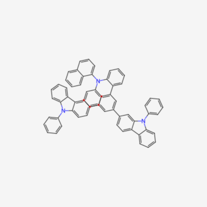 c1ccc(N(c2ccccc2-c2cc(-c3ccc4c(c3)c3ccccc3n4-c3ccccc3)cc(-c3ccc4c5ccccc5n(-c5ccccc5)c4c3)c2)c2cccc3ccccc23)cc1